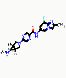 CN[C@H]1[C@@H]2CN(c3cnc(C(=O)Nc4cc(F)c5nc(C)cn5c4)cn3)C[C@@H]21